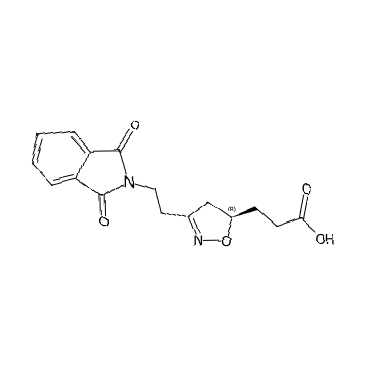 O=C(O)CC[C@@H]1CC(CCN2C(=O)c3ccccc3C2=O)=NO1